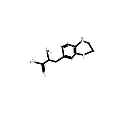 NC(Cc1ccc2c(c1)OCCO2)C(=O)O